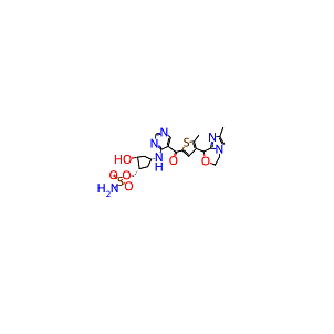 Cc1cn2c(n1)C(c1cc(C(=O)c3cncnc3N[C@@H]3C[C@H](COS(N)(=O)=O)[C@@H](O)C3)sc1C)OCC2